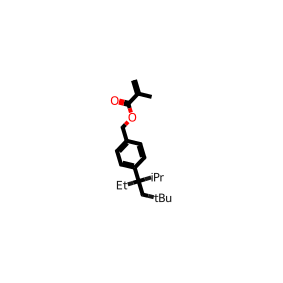 C=C(C)C(=O)OCc1ccc(C(CC)(CC(C)(C)C)C(C)C)cc1